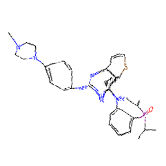 CC(C)P(=O)(c1ccccc1Nc1nc(Nc2ccc(N3CCN(C)CC3)cc2)nc2ccsc12)C(C)C